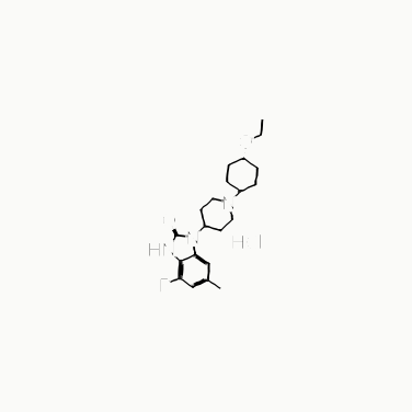 CCO[C@H]1CC[C@](C)(N2CCC(n3c(=O)[nH]c4c(F)cc(C)cc43)CC2)CC1.Cl